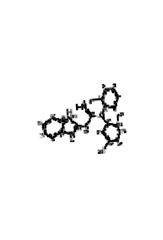 Cc1ccccc1N(C(=N)Sc1nc2ccccc2[nH]1)c1cc(I)ccc1C